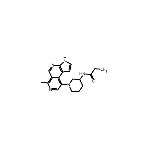 Cc1ncc(N2CCCC(NC(=O)CC(F)(F)F)C2)c2c1cnc1[nH]ccc12